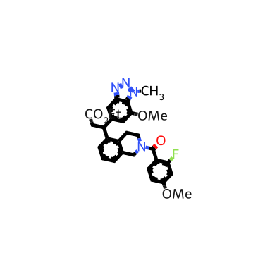 CCOC(=O)CC(c1cc(OC)c2c(c1)nnn2C)c1cccc2c1CCN(C(=O)c1ccc(OC)cc1F)C2